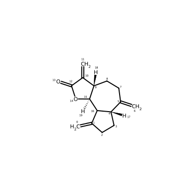 C=C1CC[C@H]2C(=C)CC[C@H]3C(=C)C(=O)O[C@@H]3C12